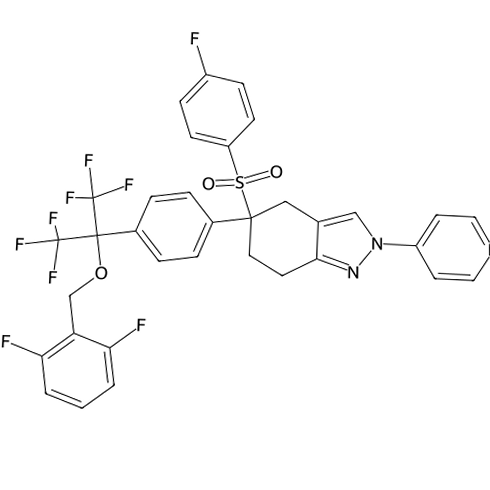 O=S(=O)(c1ccc(F)cc1)C1(c2ccc(C(OCc3c(F)cccc3F)(C(F)(F)F)C(F)(F)F)cc2)CCc2nn(-c3ccncc3)cc2C1